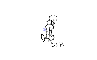 O=C(O)C1=CS[C@@H]2/C(=C\c3cc4n(n3)CCCC4)C(=O)N12